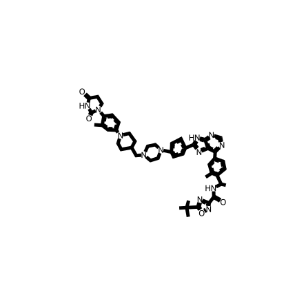 Cc1cc(-c2ncnc3[nH]c(-c4ccc(N5CCN(CC6CCN(c7ccc(N8CCC(=O)NC8=O)c(C)c7)CC6)CC5)cc4)nc23)ccc1C(C)NC(=O)c1noc(C(C)(C)C)n1